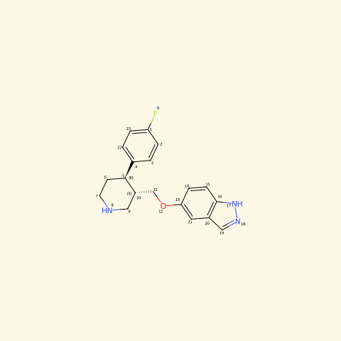 Fc1ccc([C@@H]2CCNC[C@H]2COc2ccc3[nH]ncc3c2)cc1